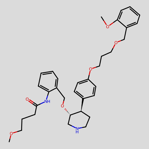 COCCCC(=O)Nc1ccccc1CO[C@H]1CNCC[C@@H]1c1ccc(OCCCOCc2ccccc2OC)cc1